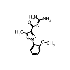 COc1ccccc1-n1nc(C)c(C(=O)N=C(N)N)n1